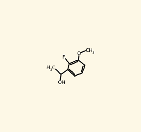 COc1cccc(C(C)O)c1F